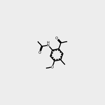 COc1cc(NC(C)=O)c(C(C)=O)cc1C